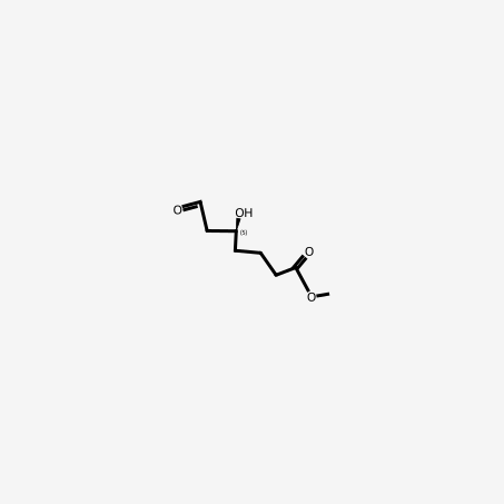 COC(=O)CCC[C@H](O)CC=O